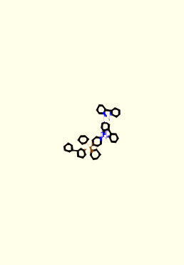 c1ccc(-c2cccc(S(c3ccccc3)(c3ccccc3)c3ccc(-n4c5ccccc5c5cc(-n6c7ccccc7c7ccccc76)ccc54)cc3)c2)cc1